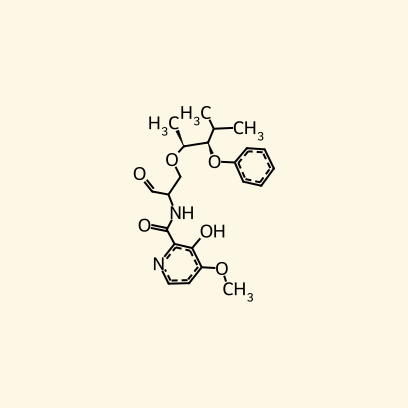 COc1ccnc(C(=O)NC(C=O)CO[C@@H](C)[C@H](Oc2ccccc2)C(C)C)c1O